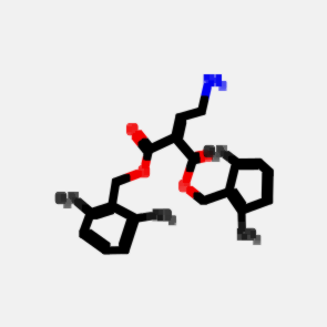 NCC=C(C(=O)OCc1c([N+](=O)[O-])cccc1[N+](=O)[O-])C(=O)OCc1c([N+](=O)[O-])cccc1[N+](=O)[O-]